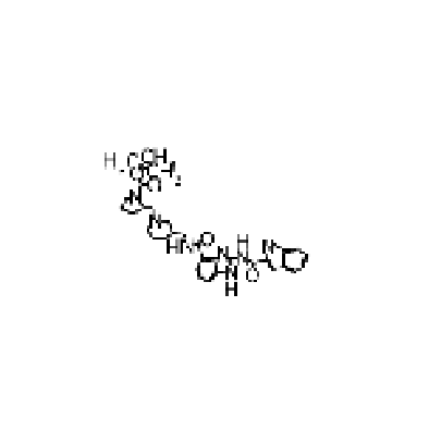 CC(C)(C)OC(=O)N1CCCC1CN1CCCC(CNC(=O)c2cccc3[nH]c(NC(=O)c4cc5ccccc5cn4)nc23)C1